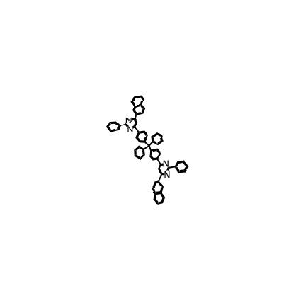 c1ccc(-c2nc(-c3ccc(C(c4ccccc4)(c4ccccc4)c4ccc(-c5cc(-c6ccc7ccccc7c6)nc(-c6ccccc6)n5)cc4)cc3)cc(-c3ccc4ccccc4c3)n2)cc1